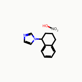 O=[N+]([O-])O.c1ccc2c(c1)CCCC2n1ccnc1